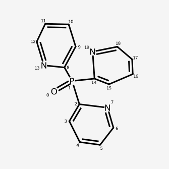 O=P(c1ccccn1)(c1ccccn1)c1ccccn1